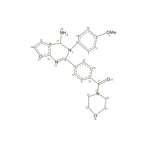 COc1ccc(N2C(c3ccc(C(=O)N4CCOCC4)cc3)=Nc3occc3C2N)cc1